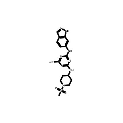 CCCc1nc(Nc2ccc3cn[nH]c3c2)nc(NC2CCN(S(C)(=O)=O)CC2)n1